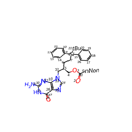 CCCCCCCCCC(=O)OC[C@H](CC[Si](c1ccccc1)(c1ccccc1)C(C)(C)C)Cn1cnc2c(=O)[nH]c(N)nc21